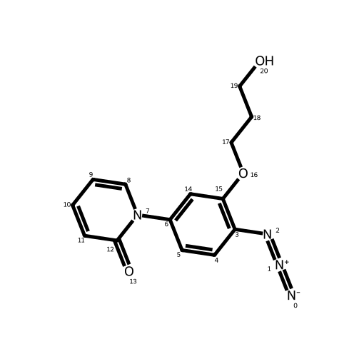 [N-]=[N+]=Nc1ccc(-n2ccccc2=O)cc1OCCCO